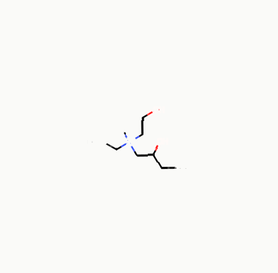 CCCCCCCCCC(O)C[N+](C)(CCO)CC(=O)O